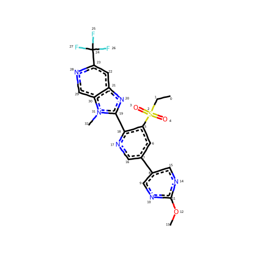 CCS(=O)(=O)c1cc(-c2cnc(OC)nc2)cnc1-c1nc2cc(C(F)(F)F)ncc2n1C